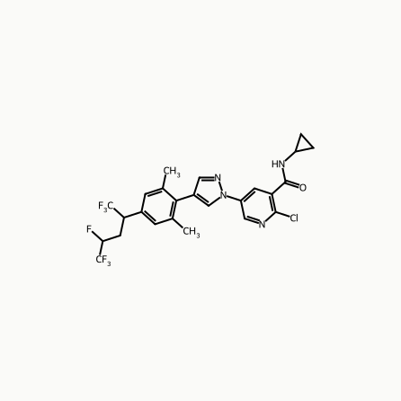 Cc1cc(C(CC(F)C(F)(F)F)C(F)(F)F)cc(C)c1-c1cnn(-c2cnc(Cl)c(C(=O)NC3CC3)c2)c1